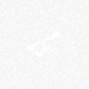 C=CCC(CC)OC